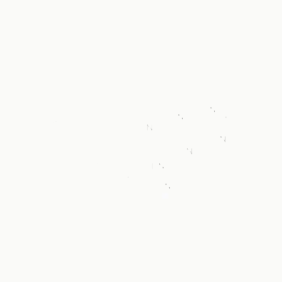 Cc1ccc(C)c(Nc2nc3nonc3nc2N/N=C\c2ccc(-c3ccc(Br)cc3)o2)c1